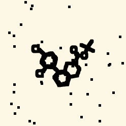 CC(C)(C)OC(=O)N1CCc2cccc(-c3ccc(Cl)cc3Cl)c2C1